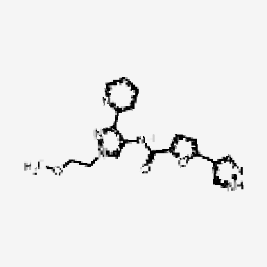 COCCn1cc(NC(=O)c2ccc(-c3cn[nH]c3)o2)c(-c2ccccn2)n1